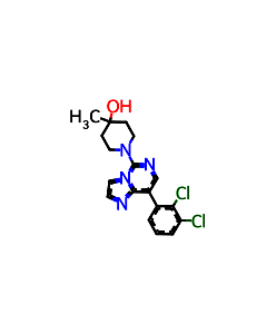 CC1(O)CCN(c2ncc(-c3cccc(Cl)c3Cl)c3nccn23)CC1